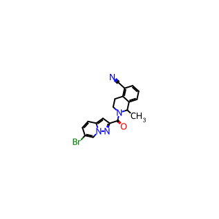 CC1c2cccc(C#N)c2CCN1C(=O)c1cc2ccc(Br)cn2n1